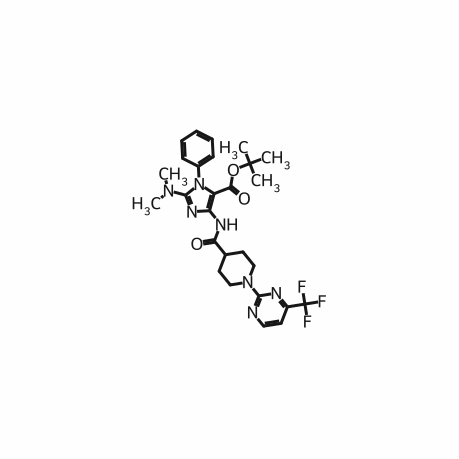 CN(C)c1nc(NC(=O)C2CCN(c3nccc(C(F)(F)F)n3)CC2)c(C(=O)OC(C)(C)C)n1-c1ccccc1